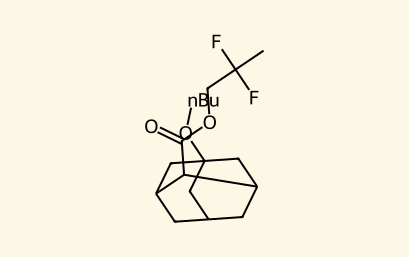 CCCCOC12CC3CC(C1)C(C(=O)OCC(C)(F)F)C(C3)C2